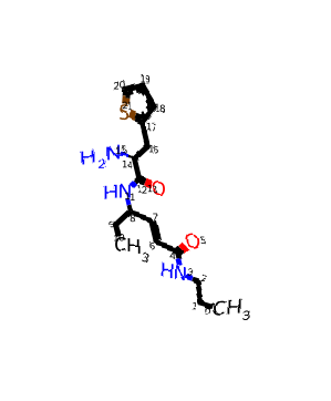 CCCNC(=O)C=CC(CC)NC(=O)[C@@H](N)Cc1cccs1